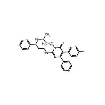 CC(C)N[C@@H](CCNc1nc(-c2ccncc2)c(-c2ccc(F)cc2)c(=O)n1C)c1ccccc1